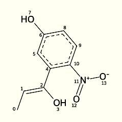 CC=C(O)c1cc(O)ccc1[N+](=O)[O-]